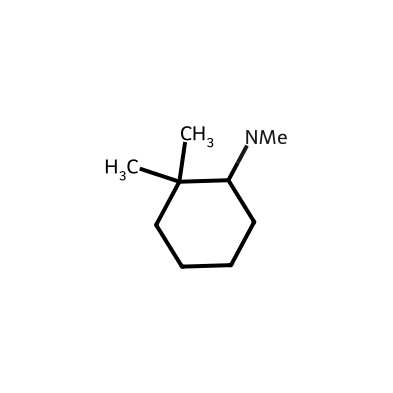 CNC1CCCCC1(C)C